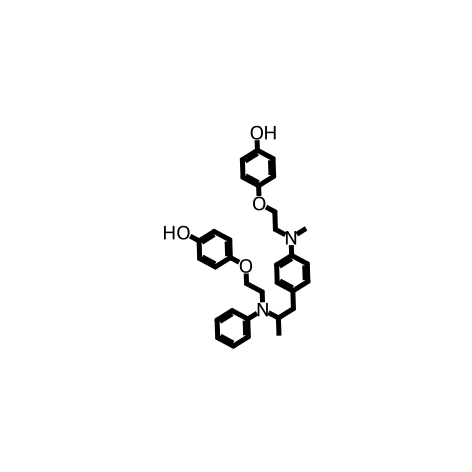 CC(Cc1ccc(N(C)CCOc2ccc(O)cc2)cc1)N(CCOc1ccc(O)cc1)c1ccccc1